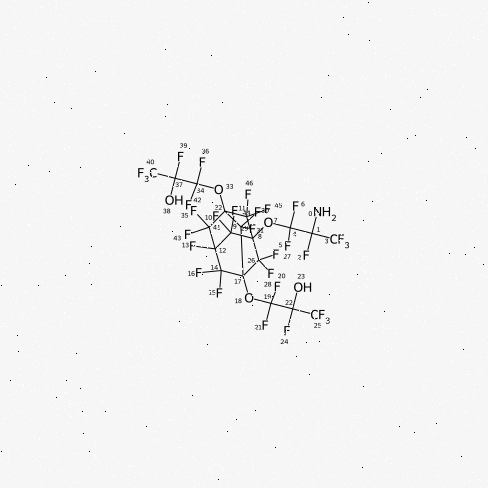 NC(F)(C(F)(F)F)C(F)(F)OC12C(F)(F)C3(F)C(F)(F)C(OC(F)(F)C(O)(F)C(F)(F)F)(C1(F)F)C(F)(F)C(OC(F)(F)C(O)(F)C(F)(F)F)(C3(F)F)C2(F)F